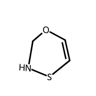 C1=CSNCO1